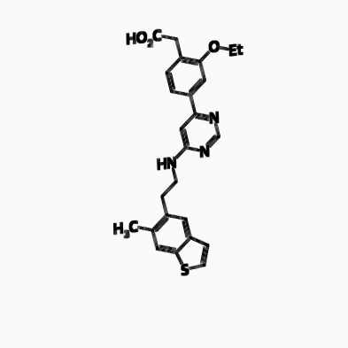 CCOc1cc(-c2cc(NCCc3cc4ccsc4cc3C)ncn2)ccc1CC(=O)O